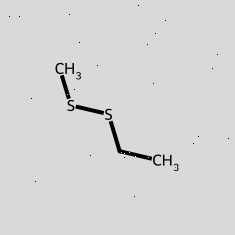 CCSSC